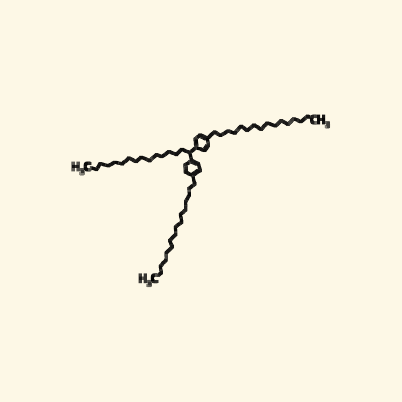 CCCCCCCCCCCCCCCCc1ccc(C(CCCCCCCCCCCCCCC)c2ccc(CCCCCCCCCCCCCCCC)cc2)cc1